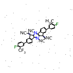 [C-]#[N+]/C(C#N)=C1/c2cc(-c3ccc(F)c(C(F)(F)F)c3)ccc2-c2nc3c(nc21)-c1ccc(-c2ccc(F)c(C)c2)cc1/C3=C(/C#N)[N+]#[C-]